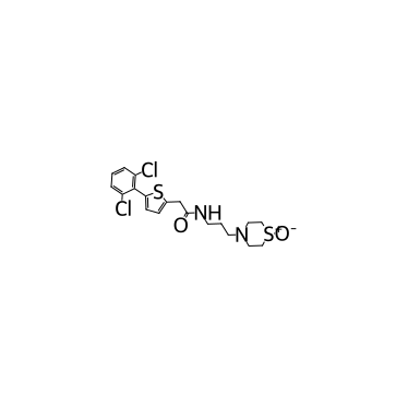 O=C(Cc1ccc(-c2c(Cl)cccc2Cl)s1)NCCCN1CC[S+]([O-])CC1